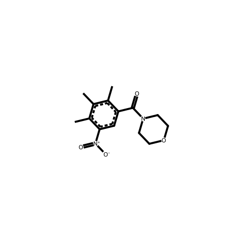 Cc1c(C(=O)N2CCOCC2)cc([N+](=O)[O-])c(C)c1C